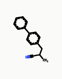 CC(C#N)Cc1ccc(-c2ccccc2)cc1